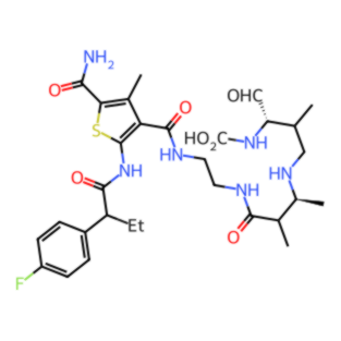 CCC(C(=O)Nc1sc(C(N)=O)c(C)c1C(=O)NCCNC(=O)C(C)[C@H](C)NCC(C)[C@@H](C=O)NC(=O)O)c1ccc(F)cc1